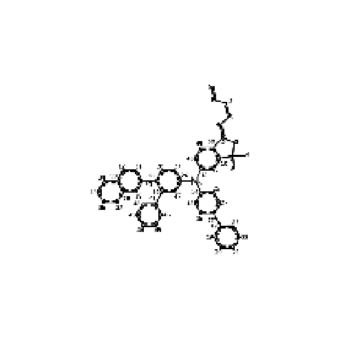 C=C/C=C\C=C1/CC(C)(C)c2cc(N(c3ccc(-c4ccccc4)cc3)c3ccc(-c4ccc5ccccc5c4)c(-c4ccccc4)c3)ccc21